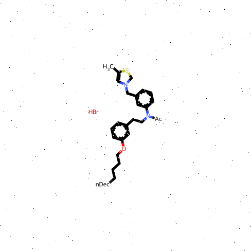 Br.CCCCCCCCCCCCCCOc1cccc(CCN(C(C)=O)c2cccc(CN3C=C(C)SC3)c2)c1